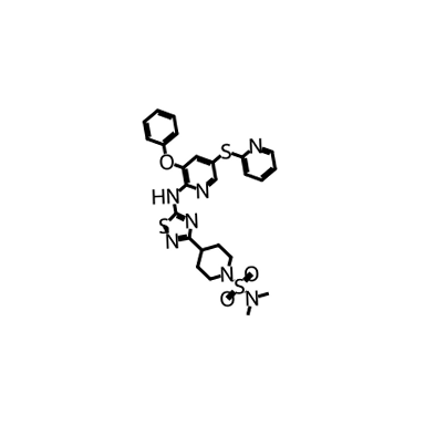 CN(C)S(=O)(=O)N1CCC(c2nsc(Nc3ncc(Sc4ccccn4)cc3Oc3ccccc3)n2)CC1